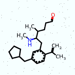 C=C(C)c1ccc(CC2CCCC2)cc1CC(NC)C(C)CCC=O